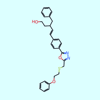 OCCC(C=Cc1ccc(-c2nnc(CSCCOc3ccccc3)o2)cc1)Cc1ccccc1